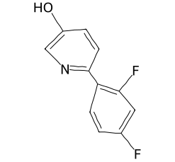 Oc1ccc(-c2ccc(F)cc2F)nc1